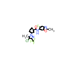 Cc1nc2cc(F)c(NC(=O)c3cccc(-n4nc(C(F)(F)F)c(Cl)c4C)c3)cc2o1